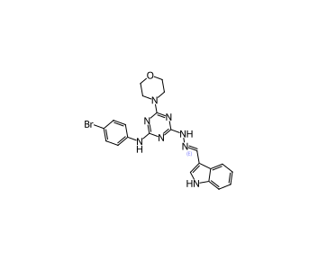 Brc1ccc(Nc2nc(N/N=C/c3c[nH]c4ccccc34)nc(N3CCOCC3)n2)cc1